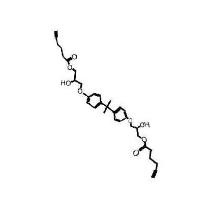 C#CCCCC(=O)OCC(O)COc1ccc(C(C)(C)c2ccc(OCC(O)COC(=O)CCCC#C)cc2)cc1